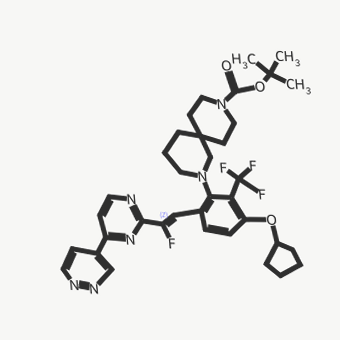 CC(C)(C)OC(=O)N1CCC2(CCCN(c3c(/C=C(\F)c4nccc(-c5ccnnc5)n4)ccc(OC4CCCC4)c3C(F)(F)F)C2)CC1